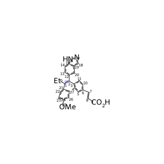 CC/C(=C(/c1ccc(C=CC(=O)O)cc1)c1ccc2[nH]ncc2c1)c1ccc(OC)cc1